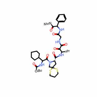 CCCC(NC(=O)[C@@H]1CC2(CN1C(=O)C(NC(=O)OCC(C)C)C1CCCCC1)SCCCS2)C(=O)C(=O)NCC(=O)NC(C(=O)NC)c1ccccc1